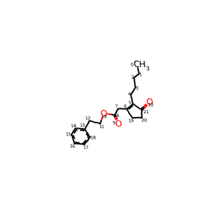 CCCCCC1=C(CC(=O)OCCc2ccccc2)CCC1=O